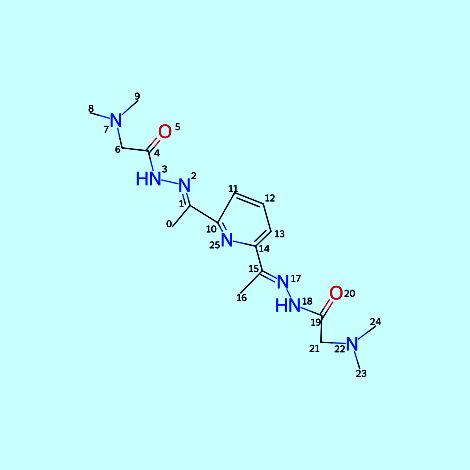 C/C(=N\NC(=O)CN(C)C)c1cccc(/C(C)=N/NC(=O)CN(C)C)n1